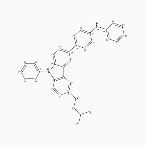 CC(C)CCc1ccc2c(c1)c1cc(-c3ccc(Nc4ccccc4)cc3)ccc1n2-c1ccccc1